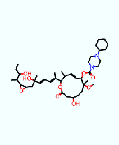 CCC(O)C(C)C1OC1CC(C)(O)/C=C/C=C(\C)C1OC(=O)CC(O)CCC(C)(OC)C(OC(=O)N2CCN(C3CCCCC3)CC2)/C=C/C1C